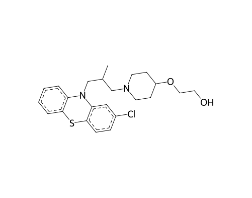 CC(CN1CCC(OCCO)CC1)CN1c2ccccc2Sc2ccc(Cl)cc21